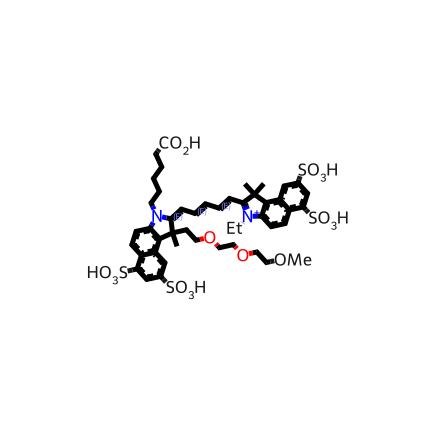 CC[N+]1=C(/C=C/C=C/C=C2/N(CCCCCC(=O)O)c3ccc4c(S(=O)(=O)O)cc(S(=O)(=O)O)cc4c3C2(C)CCOCCOCCOC)C(C)(C)c2c1ccc1c(S(=O)(=O)O)cc(S(=O)(=O)O)cc21